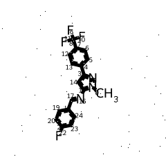 Cn1nc(-c2ccc(C(F)(F)F)cc2)cc1/N=C/c1ccc(F)cc1